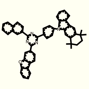 CC1(C)CCC(C)(C)c2cc3c(cc21)c1ccccc1n3-c1ccc(-c2nc(-c3ccc4ccccc4c3)nc(-c3ccc4c(c3)oc3ccccc34)n2)cc1